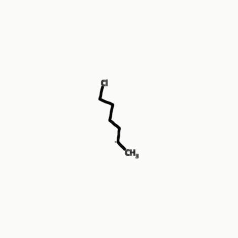 C[CH]CCCCCl